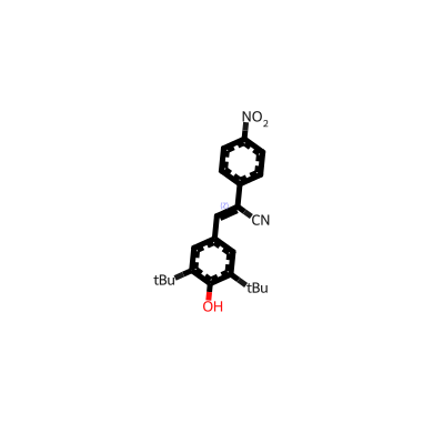 CC(C)(C)c1cc(/C=C(\C#N)c2ccc([N+](=O)[O-])cc2)cc(C(C)(C)C)c1O